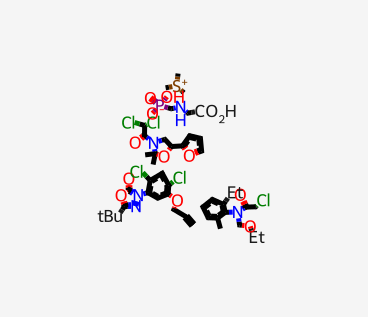 C#CCOc1cc(-n2nc(C(C)(C)C)oc2=O)c(Cl)cc1Cl.CC1(C)OC(c2ccco2)CN1C(=O)C(Cl)Cl.CCOCN(C(=O)CCl)c1c(C)cccc1CC.C[S+](C)C.O=C(O)CNCP(=O)([O-])O